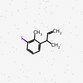 [CH2]C(C=C)c1cccc(I)c1C